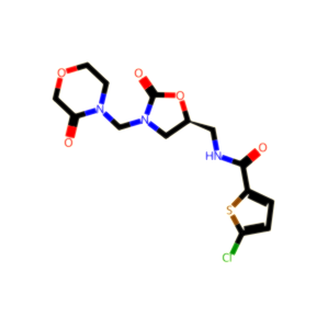 O=C(NC[C@H]1CN(CN2CCOCC2=O)C(=O)O1)c1ccc(Cl)s1